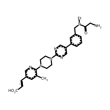 CCN(Cc1cccc(-c2cnc(N3CCN(c4ncc(/C=C/C(=O)O)cc4C)CC3)nc2)c1)C(=O)CN